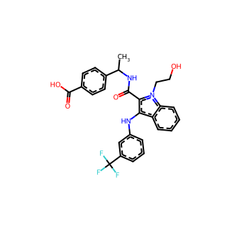 CC(NC(=O)c1c(Nc2cccc(C(F)(F)F)c2)c2ccccc2n1CCO)c1ccc(C(=O)O)cc1